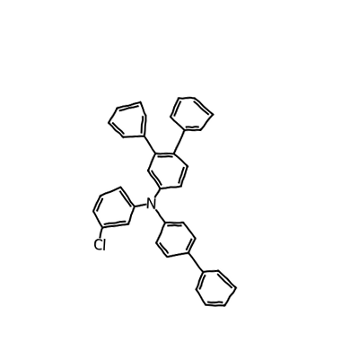 Clc1cccc(N(c2ccc(-c3ccccc3)cc2)c2ccc(-c3ccccc3)c(-c3ccccc3)c2)c1